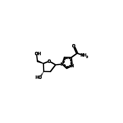 NC(=O)c1cn(C2C[C@H](O)[C@@H](CO)O2)cn1